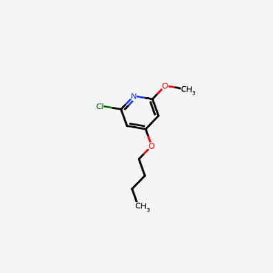 CCCCOc1cc(Cl)nc(OC)c1